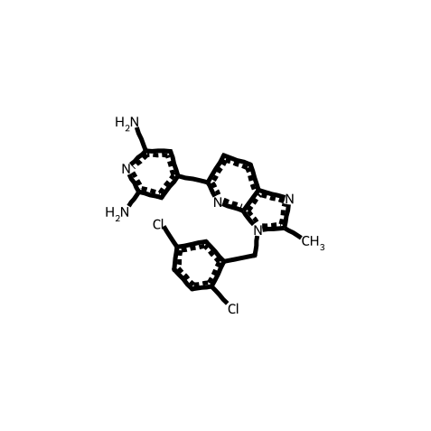 Cc1nc2ccc(-c3cc(N)nc(N)c3)nc2n1Cc1cc(Cl)ccc1Cl